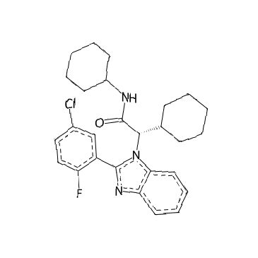 O=C(NC1CCCCC1)[C@H](C1CCCCC1)n1c(-c2cc(Cl)ccc2F)nc2ccccc21